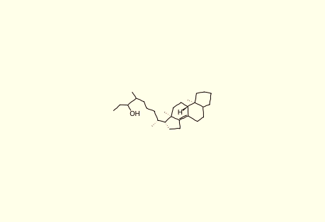 CCC(O)C(C)CCC[C@@H](C)[C@H]1CCC2=C3CCC4CCCC[C@]4(C)[C@H]3CC[C@@]21C